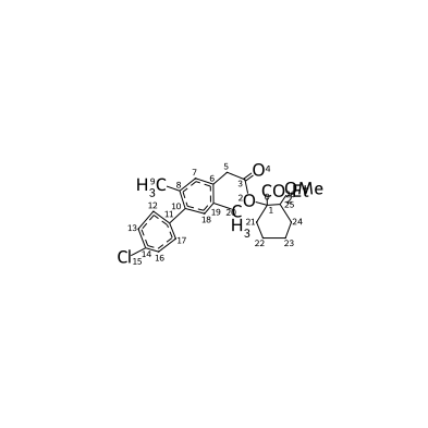 CCOC(=O)C1(OC(=O)Cc2cc(C)c(-c3ccc(Cl)cc3)cc2C)CCCCC1OC